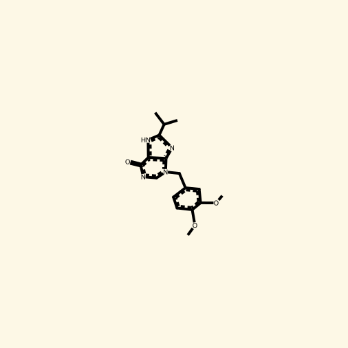 COc1ccc(Cn2cnc(=O)c3[nH]c(C(C)C)nc32)cc1OC